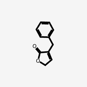 O=C1OCC=C1Cc1ccccc1